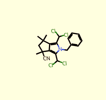 CC1(C)CC(C)(C#N)c2c1c(C(Cl)Cl)n(Cc1ccccc1)c2C(Cl)Cl